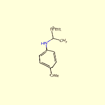 CCCCCC(C)Nc1ccc(OC)cc1